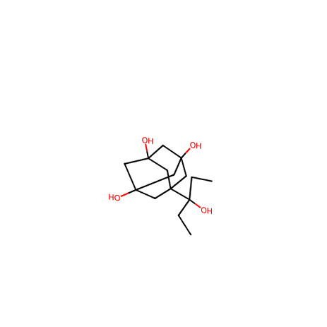 CCC(O)(CC)C12CC3(O)CC(O)(CC(O)(C3)C1)C2